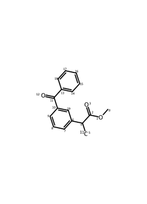 COC(=O)C([11CH3])c1cccc(C(=O)c2ccccc2)c1